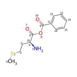 CSCC[C@H](N)C(=O)OC(=O)c1ccccc1